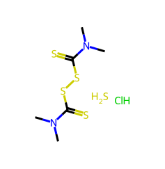 CN(C)C(=S)SSC(=S)N(C)C.Cl.S